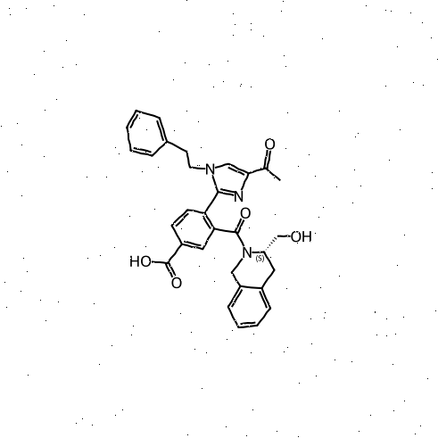 CC(=O)c1cn(CCc2ccccc2)c(-c2ccc(C(=O)O)cc2C(=O)N2Cc3ccccc3C[C@H]2CO)n1